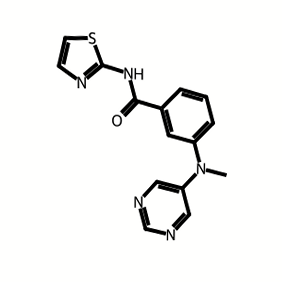 CN(c1cncnc1)c1cccc(C(=O)Nc2nccs2)c1